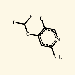 Nc1cc(OC(F)F)c(F)cn1